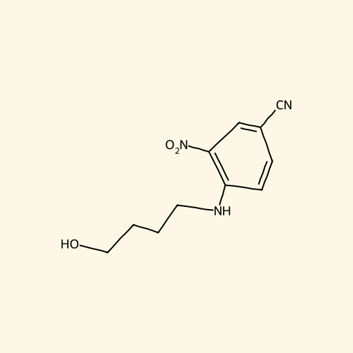 N#Cc1ccc(NCCCCO)c([N+](=O)[O-])c1